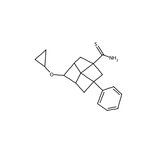 NC(=S)C12CC3C(OC4CC4)C4CC(c5ccccc5)(C1)C342